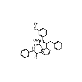 CCOc1cccc(NC(Cc2ccccc2)C23C=CC(O2)C(C(=O)Nc2ccncc2)=C3C(=O)OC)c1